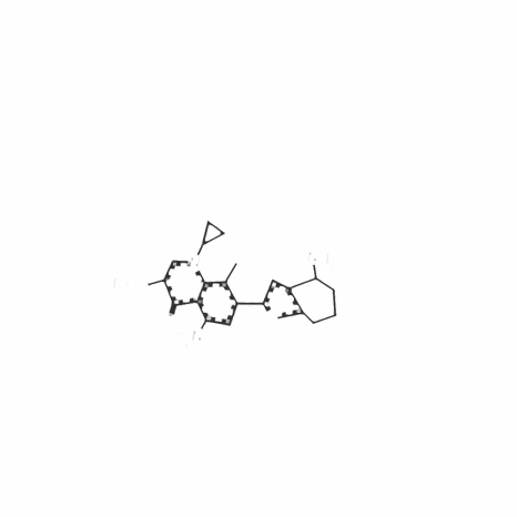 Cc1c(-c2cc3c(s2)CCCC3N)cc(N)c2c(=O)c(C(=O)O)cn(C3CC3)c12